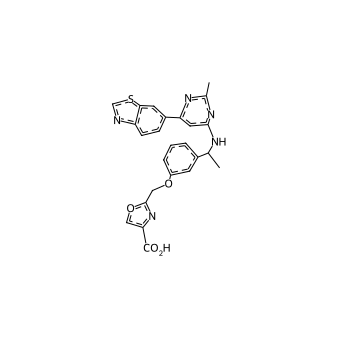 Cc1nc(NC(C)c2cccc(OCc3nc(C(=O)O)co3)c2)cc(-c2ccc3ncsc3c2)n1